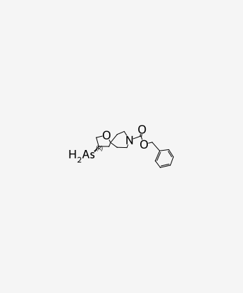 O=C(OCc1ccccc1)N1CCC2(CC1)C[C@@H]([AsH2])CO2